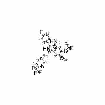 CNC(=O)C(N[C@@H](CCc1ccc(C(F)(F)F)nc1)c1ccc(OC(F)F)c(OC)c1)c1ccc(F)cc1